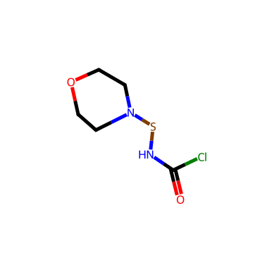 O=C(Cl)NSN1CCOCC1